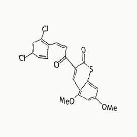 COc1cc(OC)c2cc(C(=O)/C=C\c3ccc(Cl)cc3Cl)c(=O)sc2c1